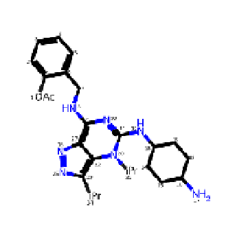 CC(=O)Oc1ccccc1CNc1nc(NC2CCC(N)CC2)n(C(C)C)c2c(C(C)C)nnc1-2